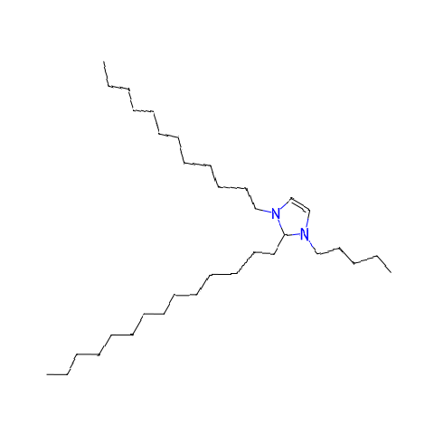 CCCCCCCCCCCCCCC1N(CCCCC)C=CN1CCCCCCCCCCCC